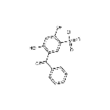 O=C(c1ccccc1)c1cc(S(=O)(=O)Cl)c(O)cc1O